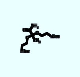 CCCCCCCCCCCCOC(C)(OCCCCCCCCCCCC)C(N)=O